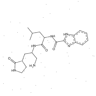 CC(C)CC(NC(=O)c1nc2ccccc2[nH]1)C(=O)NC(CN)CC1CCNC1=O